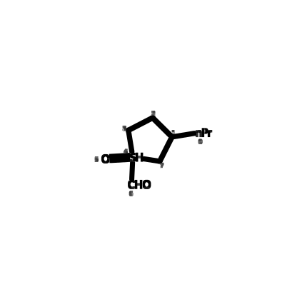 CCCC1CC[SH](=O)(C=O)C1